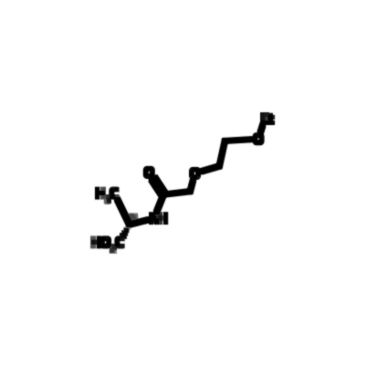 CCOCCOCC(=O)N[C@@H](C)C(=O)O